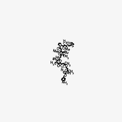 CCC(C)C([C@@H](CC(=O)N1CCC[C@H]1[C@H](OC)[C@@H](C)C(=O)NCc1nccs1)OC)N(C)C(=O)CNC(=O)C(C(C)C)N(C)C(=O)CCCC(C)(C)OCCC(C)(C)NC(=O)OCc1ccc(N)cc1